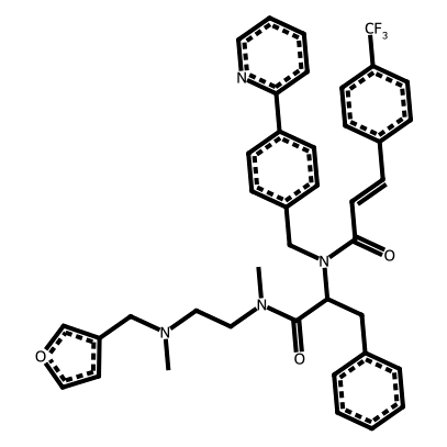 CN(CCN(C)C(=O)C(Cc1ccccc1)N(Cc1ccc(-c2ccccn2)cc1)C(=O)C=Cc1ccc(C(F)(F)F)cc1)Cc1ccoc1